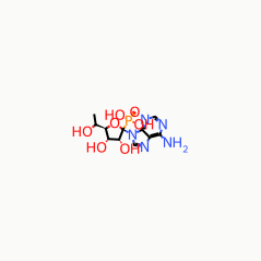 CC(O)[C@H]1O[C@](n2cnc3c(N)ncnc32)(P(=O)(O)O)[C@H](O)[C@@H]1O